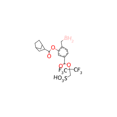 BCc1ccc(C(=O)OC(CS(=O)(=O)O)(C(F)(F)F)C(F)(F)F)cc1OC(=O)C1CC2CCC1C2